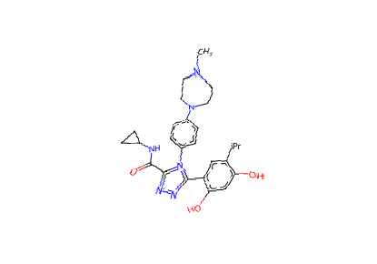 CC(C)c1cc(-c2nnc(C(=O)NC3CC3)n2-c2ccc(N3CCN(C)CC3)cc2)c(O)cc1O